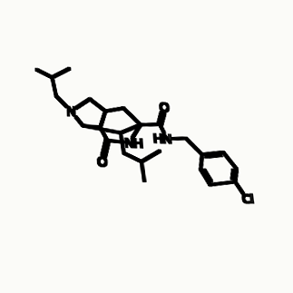 CC(C)CC1C2C3C(=O)NC1(C(=O)NCc1ccc(Cl)cc1)CC3CN2CC(C)C